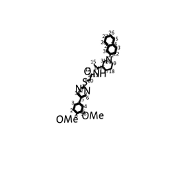 COc1ccc(-c2cnc(SCC(=O)NC(C)C3CCCN(c4ccc5ccccc5c4)C3)nc2)cc1OC